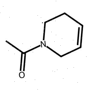 CC(=O)N1[CH]CC=CC1